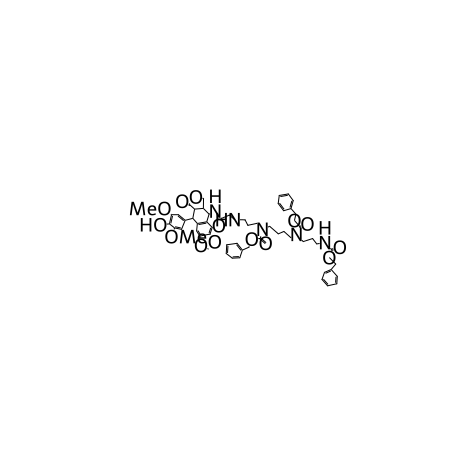 COc1cc(C2c3cc4c(cc3C(NC(=O)CNCCCN(CCCCN(CCCNC(=O)OCc3ccccc3)C(=O)OCc3ccccc3)C(=O)OCc3ccccc3)C3COC(=O)C23)OCO4)cc(OC)c1O